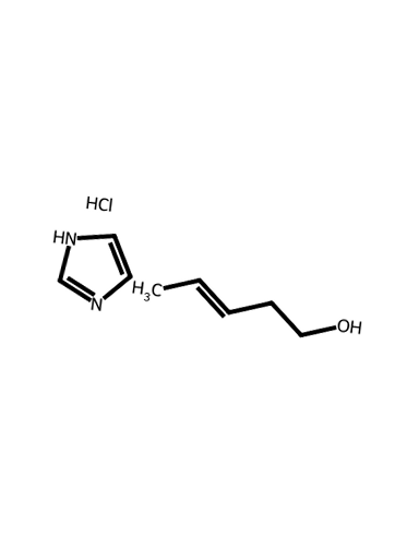 CC=CCCO.Cl.c1c[nH]cn1